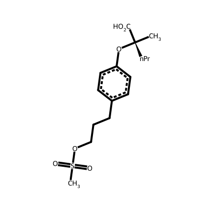 CCC[C@@](C)(Oc1ccc(CCCOS(C)(=O)=O)cc1)C(=O)O